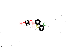 CC(C)(O)C(C)(C)OBc1cccc2c1sc1cccc(Cl)c12